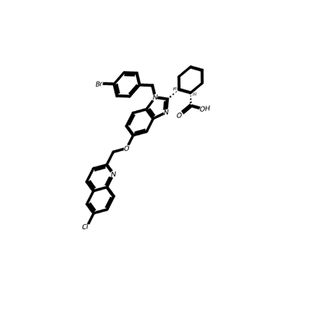 O=C(O)[C@H]1CCCC[C@H]1c1nc2cc(OCc3ccc4cc(Cl)ccc4n3)ccc2n1Cc1ccc(Br)cc1